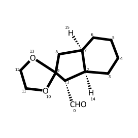 O=C[C@H]1[C@@H]2CCCC[C@@H]2CC12OCCO2